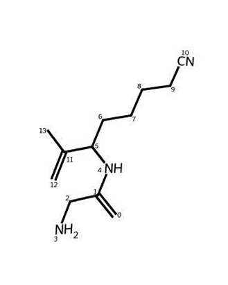 C=C(CN)NC(CCCCC#N)C(=C)C